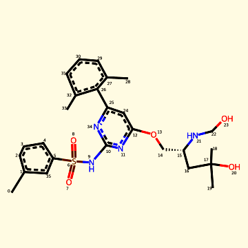 Cc1cccc(S(=O)(=O)Nc2nc(OC[C@@H](CC(C)(C)O)NCO)cc(-c3c(C)cccc3C)n2)c1